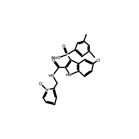 COP(=O)(c1cc(C)cc(C)c1)c1c(C(=O)NCc2cccc[n+]2[O-])[nH]c2ccc(Cl)cc12